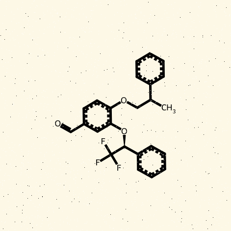 CC(COc1ccc(C=O)cc1O[C@@H](c1ccccc1)C(F)(F)F)c1ccccc1